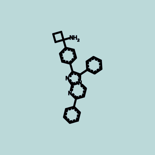 NC1(c2ccc(-c3nc4nc(-c5ccccc5)ccn4c3-c3ccccc3)cc2)CCC1